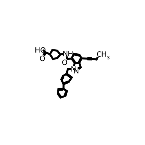 CCC#Cc1ccc(C(=O)NC2CCC(C(=O)O)CC2)c2c1cnn2Cc1ccc(-c2ccccc2)cc1